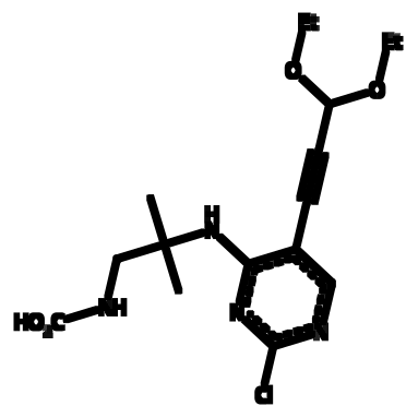 CCOC(C#Cc1cnc(Cl)nc1NC(C)(C)CNC(=O)O)OCC